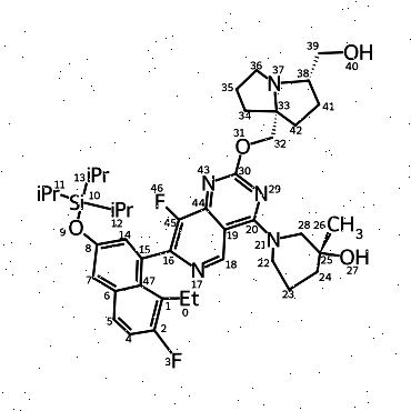 CCc1c(F)ccc2cc(O[Si](C(C)C)(C(C)C)C(C)C)cc(-c3ncc4c(N5CCC[C@@](C)(O)C5)nc(OC[C@]56CCCN5[C@H](CO)CC6)nc4c3F)c12